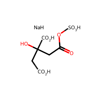 O=C(O)CC(O)(CC(=O)OS(=O)(=O)O)C(=O)O.[NaH]